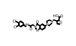 O=C(Cn1cnc2ccc(N3CCN(Cc4ccoc4C(=O)O)CC3)cc2c1=O)NCc1ccc(Cl)c(Cl)c1